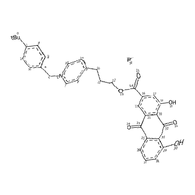 CC(C)(C)c1ccc(C[n+]2ccc(CCCOC(=O)c3cc(O)c4c(c3)C(=O)c3cccc(O)c3C4=O)cc2)cc1.[Br-]